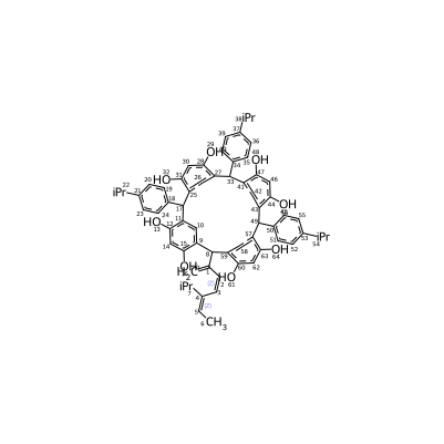 C=C(/C=C\C(=C/C)C(C)C)C1c2cc(c(O)cc2O)C(c2ccc(C(C)C)cc2)c2cc(c(O)cc2O)C(c2ccc(C(C)C)cc2)c2cc(c(O)cc2O)C(c2ccc(C(C)C)cc2)c2cc1c(O)cc2O